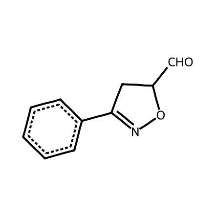 O=CC1CC(c2ccccc2)=NO1